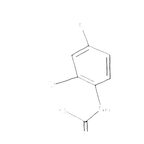 Fc1ccc(NC(=S)Cl)c(Cl)c1